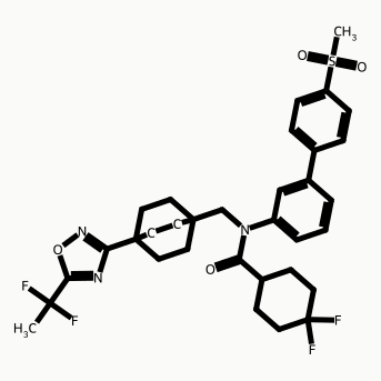 CC(F)(F)c1nc(C23CCC(CN(C(=O)C4CCC(F)(F)CC4)c4cccc(-c5ccc(S(C)(=O)=O)cc5)c4)(CC2)CC3)no1